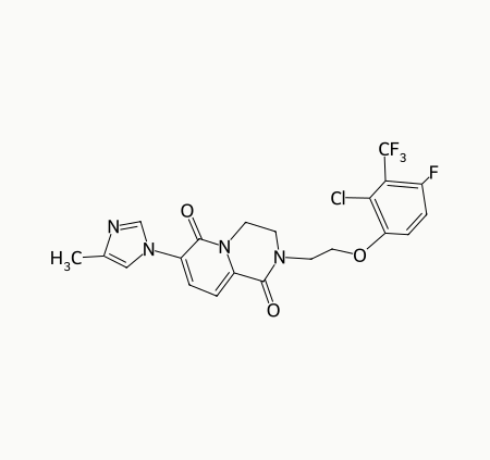 Cc1cn(-c2ccc3n(c2=O)CCN(CCOc2ccc(F)c(C(F)(F)F)c2Cl)C3=O)cn1